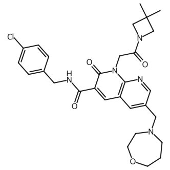 CC1(C)CN(C(=O)Cn2c(=O)c(C(=O)NCc3ccc(Cl)cc3)cc3cc(CN4CCCOCC4)cnc32)C1